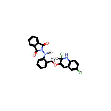 CC(=O)N(c1ccccc1COC1=Cc2cc(Cl)ccc2NC1(C)Cl)N1C(=O)c2ccccc2C1=O